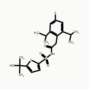 CC(C)c1cc(F)cc(C(C)C)c1CC(=O)NS(=O)(=O)c1ccc(C(C)(C)O)s1